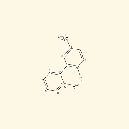 O=C(O)c1ccc(F)c(-c2ccccc2O)c1